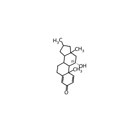 CC1CC2C3CCC4=CC(=O)C=CC4(C)C3[C@@H](O)CC2(C)C1